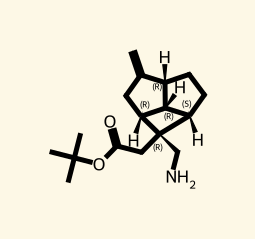 C=C1C[C@@H]2[C@@H]3[C@H]1CC[C@@H]3[C@]2(CN)CC(=O)OC(C)(C)C